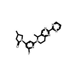 CC1CC(=O)N(c2cc(F)nc(N3CCc4nc(-c5ncccn5)ncc4C3C)c2)C1